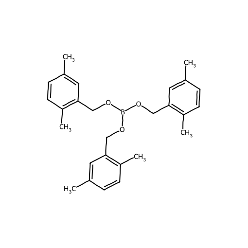 Cc1ccc(C)c(COB(OCc2cc(C)ccc2C)OCc2cc(C)ccc2C)c1